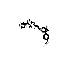 Cc1ncoc1-c1nnc(SCCCN2C[C@@H]3CC3(c3ccc(OC(F)(F)F)cc3)C2)n1C